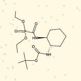 CCOP(=O)(OCC)C(=O)N[C@H]1CCCC[C@@H]1NC(=O)OC(C)(C)C